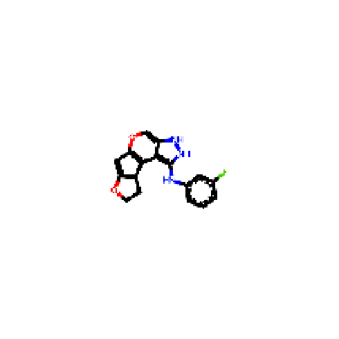 Fc1cccc(NC2=C3C(=COC4=C3C3CCOC3=C4)NN2)c1